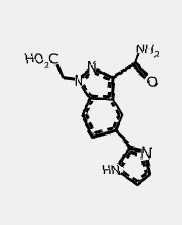 NC(=O)c1nn(CC(=O)O)c2ccc(-c3ncc[nH]3)cc12